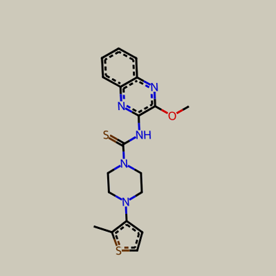 COc1nc2ccccc2nc1NC(=S)N1CCN(c2ccsc2C)CC1